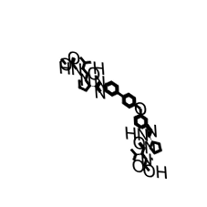 COC(=O)N[C@H](C(=O)N1CCC[C@H]1c1nc2cc(-c3ccc(Oc4ccc5[nH]c([C@@H]6CCCN6C(=O)[C@H](C(C)C)N(C)C(=O)O)nc5c4)cc3)ccc2[nH]1)C(C)C